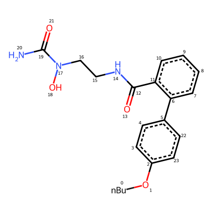 CCCCOc1ccc(-c2ccccc2C(=O)NCCN(O)C(N)=O)cc1